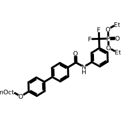 CCCCCCCCOc1ccc(-c2ccc(C(=O)Nc3cccc(C(F)(F)P(=O)(OCC)OCC)c3)cc2)cc1